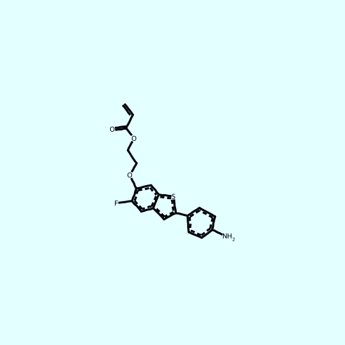 C=CC(=O)OCCOc1cc2sc(-c3ccc(N)cc3)cc2cc1F